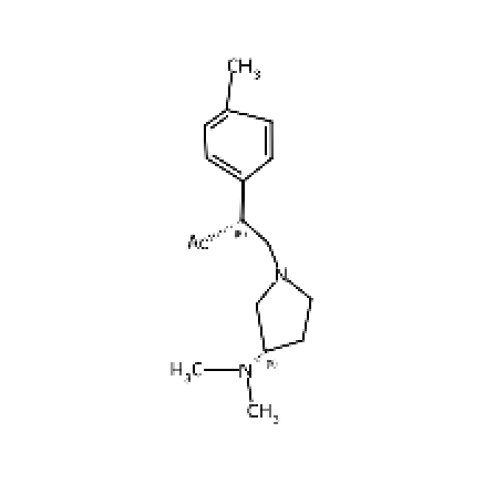 CC(=O)[C@@H](CN1CC[C@H](N(C)C)C1)c1ccc(C)cc1